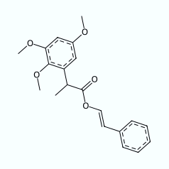 COc1cc(OC)c(OC)c(C(C)C(=O)OC=Cc2ccccc2)c1